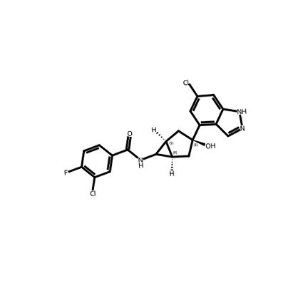 O=C(NC1[C@H]2C[C@](O)(c3cc(Cl)cc4[nH]ncc34)C[C@@H]12)c1ccc(F)c(Cl)c1